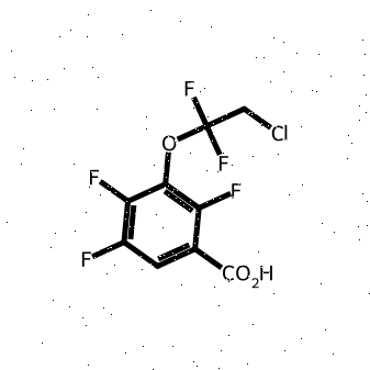 O=C(O)c1cc(F)c(F)c(OC(F)(F)CCl)c1F